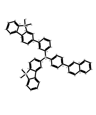 C[Si]1(C)c2ccccc2-c2cc(N(c3ccc(-c4ccc5ccccc5c4)cc3)c3cccc(-c4ccc5c(c4)[Si](C)(C)c4ccccc4-5)c3)ccc21